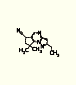 CCc1cc2ncc3c(n2n1)C(C)(C)CC3C#N